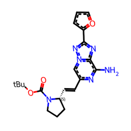 CC(C)(C)OC(=O)N1CCC[C@H]1C=Cc1cn2nc(-c3ccco3)nc2c(N)n1